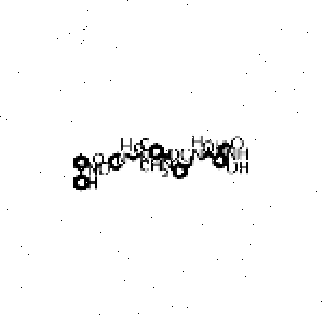 Cc1ccc(C(=O)Nc2cccc(CC(C)NC[C@@H](O)c3ccc(O)c4[nH]c(=O)ccc34)c2)cc1N(C)C(=O)CCN1CCC(OC(=O)Nc2ccccc2-c2ccccc2)CC1